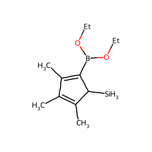 CCOB(OCC)C1=C(C)C(C)=C(C)C1[SiH3]